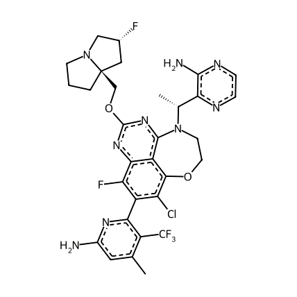 Cc1cc(N)nc(-c2c(Cl)c3c4c(nc(OC[C@@]56CCCN5C[C@H](F)C6)nc4c2F)N([C@H](C)c2nccnc2N)CCO3)c1C(F)(F)F